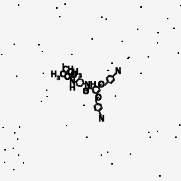 CC(C)(C)OC(=O)NC1CCC(NC(=O)c2cc(OCc3ccc(C#N)cc3)cc(OCc3ccc(C#N)cc3)c2)CC1